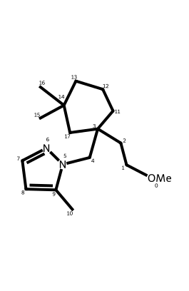 COCCC1(Cn2nccc2C)CCCC(C)(C)C1